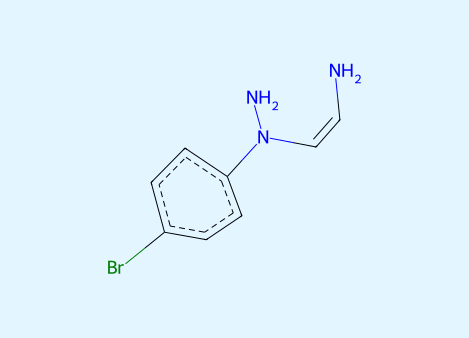 N/C=C\N(N)c1ccc(Br)cc1